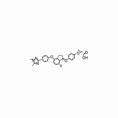 Cc1nc(-c2ccc(Oc3ccc(F)c4c3CC[C@H]4Oc3ccc([C@H]4C[C@@H]4C(=O)O)cc3)cc2)nn1C